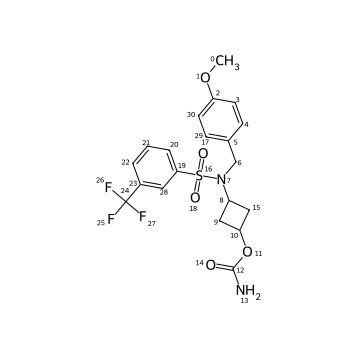 COc1ccc(CN(C2CC(OC(N)=O)C2)S(=O)(=O)c2cccc(C(F)(F)F)c2)cc1